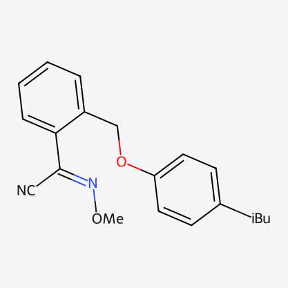 CCC(C)c1ccc(OCc2ccccc2C(C#N)=NOC)cc1